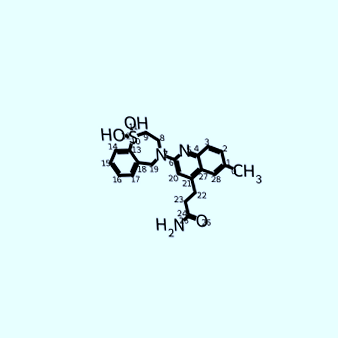 Cc1ccc2nc(N3CCS(O)(O)c4ccccc4C3)cc(CCC(N)=O)c2c1